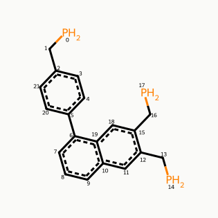 PCc1ccc(-c2cccc3cc(CP)c(CP)cc23)cc1